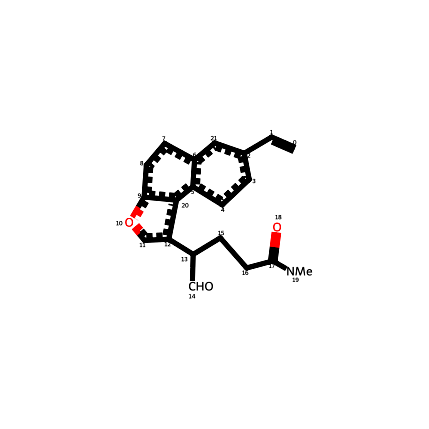 C=Cc1ccc2c(ccc3occ(C(C=O)CCC(=O)NC)c32)c1